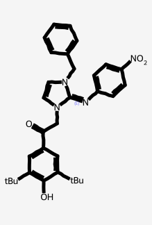 CC(C)(C)c1cc(C(=O)Cn2ccn(Cc3ccccc3)/c2=N\c2ccc([N+](=O)[O-])cc2)cc(C(C)(C)C)c1O